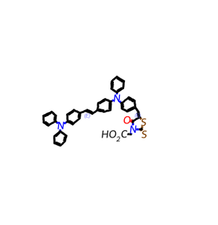 O=C(O)CN1C(=O)/C(=C\c2ccc(N(c3ccccc3)c3ccc(/C=C/c4ccc(N(c5ccccc5)c5ccccc5)cc4)cc3)cc2)SC1=S